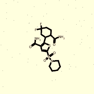 NC(=O)c1cc(S(=O)(=O)N2CCCCC2)sc1C1CC(F)(F)CCC1C(N)=O